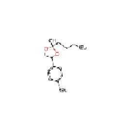 CC(C)(C)CCCC1(C)OCC(c2ccc(C(C)(C)C)cc2)O1